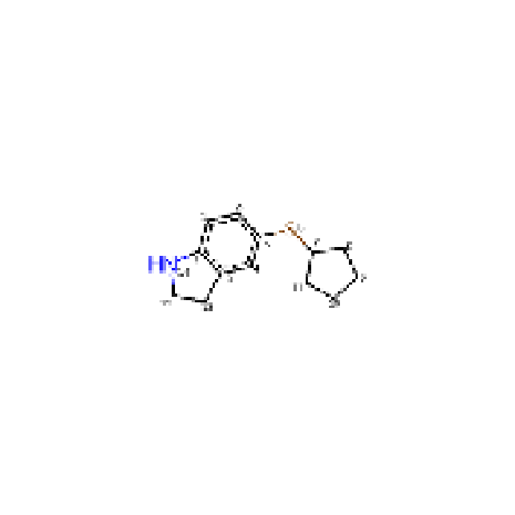 c1cc2c(cc1SC1CCCC1)CCN2